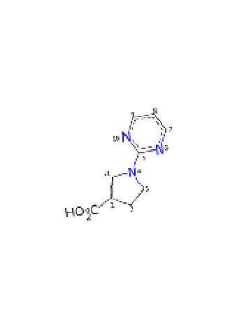 O=C(O)C1CCN(c2ncccn2)C1